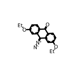 CCOc1ccc2c(c1)C(=[N+]=[N-])c1cc(OCC)ccc1C2=O